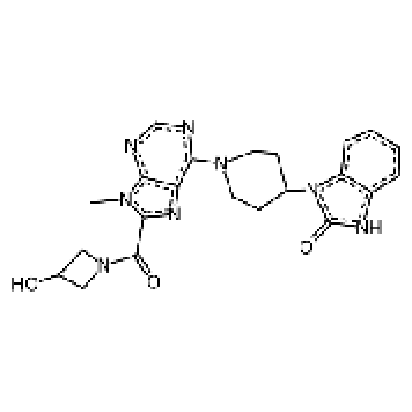 Cn1c(C(=O)N2CC(O)C2)nc2c(N3CCC(n4c(=O)[nH]c5ccccc54)CC3)ncnc21